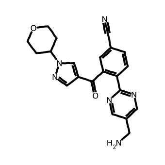 N#Cc1ccc(-c2ncc(CN)cn2)c(C(=O)c2cnn(C3CCOCC3)c2)c1